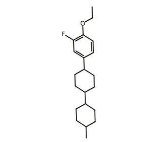 CCOc1ccc(C2CCC(C3CCC(C)CC3)CC2)cc1F